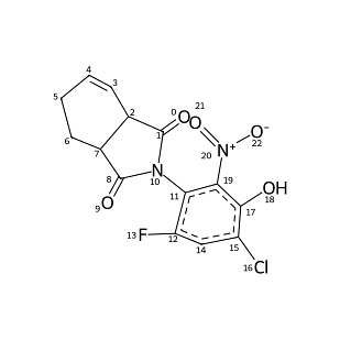 O=C1C2C=CCCC2C(=O)N1c1c(F)cc(Cl)c(O)c1[N+](=O)[O-]